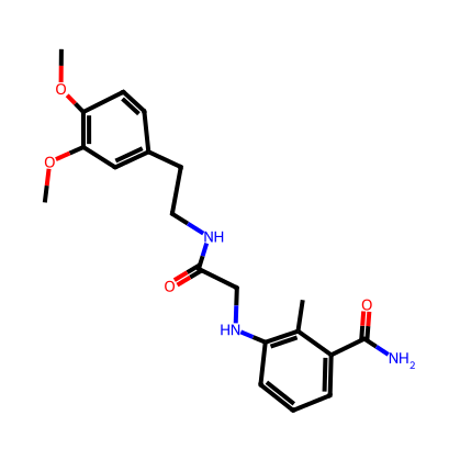 COc1ccc(CCNC(=O)CNc2cccc(C(N)=O)c2C)cc1OC